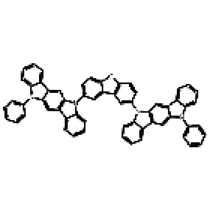 c1ccc(-n2c3ccccc3c3cc4c(cc32)c2ccccc2n4-c2ccc3oc4ccc(-n5c6ccccc6c6cc7c(cc65)c5ccccc5n7-c5ccccc5)cc4c3c2)cc1